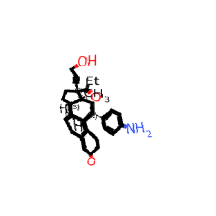 CCC(=O)[C@@]1(C#CCO)CC[C@H]2[C@@H]3CCC4=CC(=O)CCC4=C3[C@@H](c3ccc(N)cc3)C[C@@]21C